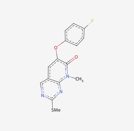 CSc1ncc2cc(Oc3ccc(F)cc3)c(=O)n(C)c2n1